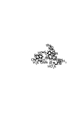 C#CCOc1cc(-n2nc(C(C)(C)C)oc2=O)c(Cl)cc1Cl.CCNc1nc(Cl)nc(NC(C)(C)C)n1.CCc1cccc(C)c1N(C(=O)CCl)C(C)COC.CP(=O)(O)CCC(N)C(=O)O